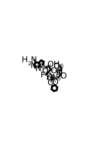 CO[C@H](C)COC(=O)[C@H](C)N[P@](=O)(OC[C@@]1(CF)O[C@@H](c2ccc3c(N)ncnn23)[C@H](O)[C@@H]1O)Oc1ccccc1